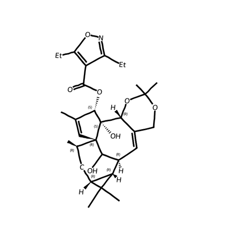 CCc1noc(CC)c1C(=O)O[C@H]1C(C)=C[C@]23C(O)[C@@H](C=C4COC(C)(C)O[C@H]4[C@]12O)[C@H]1[C@@H](C[C@H]3C)C1(C)C